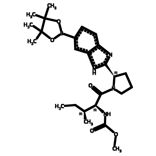 CC[C@H](C)[C@H](NC(=O)OC)C(=O)N1CCC[C@H]1c1nc2ccc(B3OC(C)(C)C(C)(C)O3)cc2[nH]1